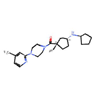 CC(C)[C@]1(C(=O)N2CCN(c3cc(C(F)(F)F)ccn3)CC2)CC[C@@H](NC2CCCC2)C1